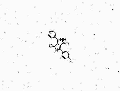 CN1C(=O)C2=C(c3ccccc3)NC(=O)C2=C1c1ccc(Cl)cc1